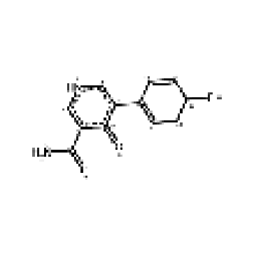 NC(=O)c1c[nH]cc(C2=CCC(F)C=C2)c1=O